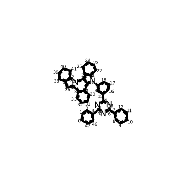 c1ccc(-c2nc(-c3ccccc3)nc(-c3cccc(-n4c5ccccc5c5c4c4ccccc4c4cc6ccccc6n45)c3)n2)cc1